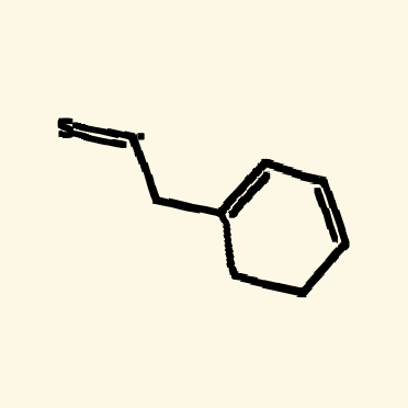 S=[C]CC1=CC=CCC1